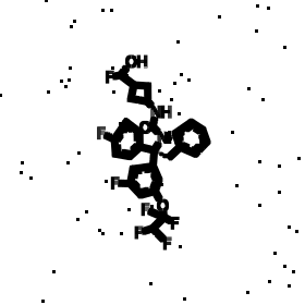 O=C(NC1CC(C(O)F)C1)N[C@](Cc1ccccc1)(c1ccc(F)cc1)c1cc(F)cc(OC(F)(F)C(F)F)c1